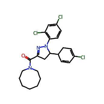 O=C(C1=NN(c2ccc(Cl)cc2Cl)C(C2C=CC(Cl)=CC2)C1)N1CCCCCCC1